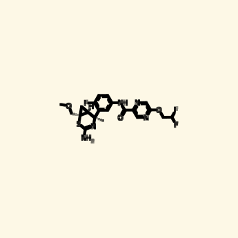 COC[C@]12C[C@H]1[C@@](C)(c1cc(NC(=O)c3cnc(OCC(F)F)cn3)ccc1F)N=C(N)S2